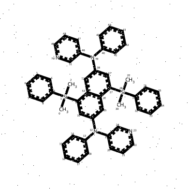 C[Si](C)(c1ccccc1)c1cc(N(c2ccccc2)c2cccnc2)cc2c([Si](C)(C)c3ccccc3)cc(N(c3ccccc3)c3cccnc3)cc12